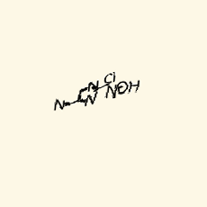 N#Cc1cnc(C(Cl)=NO)nc1